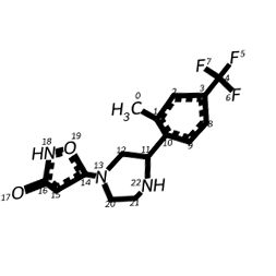 Cc1cc(C(F)(F)F)ccc1C1CN(c2cc(=O)[nH]o2)CCN1